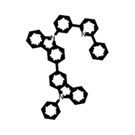 c1ccc(-c2cccc(-c3cccc(-n4c5ccccc5c5cc(-c6ccc7c(c6)c6ccccc6n7-c6ccccc6)ccc54)c3)n2)cc1